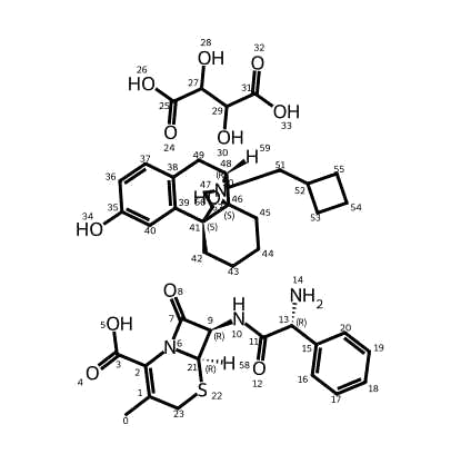 CC1=C(C(=O)O)N2C(=O)[C@@H](NC(=O)[C@H](N)c3ccccc3)[C@H]2SC1.O=C(O)C(O)C(O)C(=O)O.Oc1ccc2c(c1)[C@@]13CCCC[C@@]1(O)[C@@H](C2)N(CC1CCC1)CC3